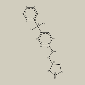 CC(C)(c1ccccc1)c1ccc(OCC2CCNC2)cc1